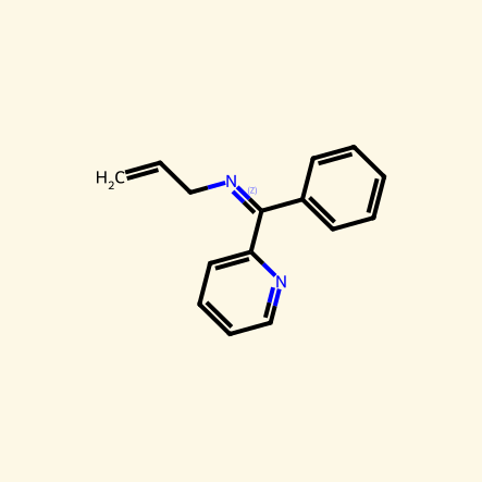 C=CC/N=C(/c1ccccc1)c1ccccn1